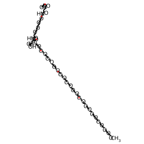 COCCOCCOCCOCCOCCOCCOCCOCCOCCOCCOCCOCCOCCOCCOCCOCCOCCOCCOCCOCCOCCOCCOCCOCCNC(=O)C(CCC(=O)O)NC(=O)CCOCCOCCOCCOCCNC(=O)CCN1C(=O)C=CC1=O